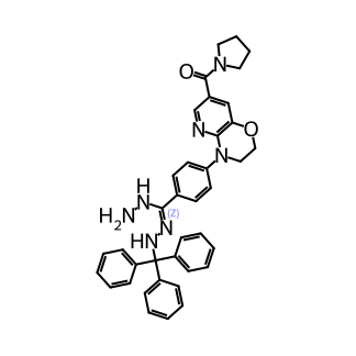 NN/C(=N\NC(c1ccccc1)(c1ccccc1)c1ccccc1)c1ccc(N2CCOc3cc(C(=O)N4CCCC4)cnc32)cc1